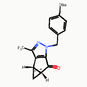 COc1ccc(Cn2nc(C(F)(F)F)c3c2C(=O)[C@@H]2C[C@H]32)cc1